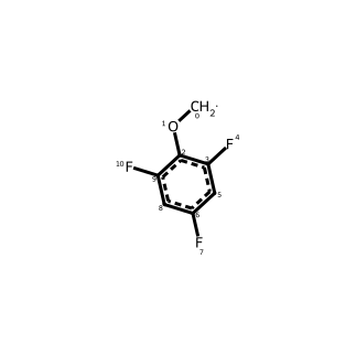 [CH2]Oc1c(F)cc(F)cc1F